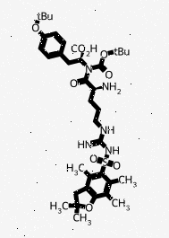 Cc1c(C)c(S(=O)(=O)NC(=N)NCCC[C@H](N)C(=O)N(C(=O)OC(C)(C)C)[C@@H](Cc2ccc(OC(C)(C)C)cc2)C(=O)O)c(C)c2c1OC(C)(C)C2